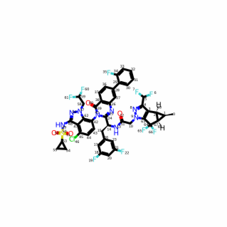 C[C@@H]1[C@@H]2c3c(C(F)F)nn(CC(=O)N[C@@H](Cc4cc(F)cc(F)c4)c4nc5cc(-c6ccccc6F)ccc5c(=O)n4-c4ccc(Cl)c5c(NS(=O)(=O)C6CC6)nn(CC(F)F)c45)c3C(F)(F)[C@H]12